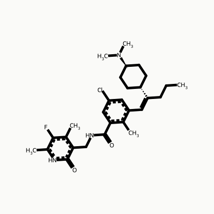 CCC/C(=C/c1cc(Cl)cc(C(=O)NCc2c(C)c(F)c(C)[nH]c2=O)c1C)[C@H]1CC[C@H](N(C)C)CC1